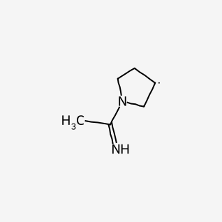 CC(=N)N1C[CH]CC1